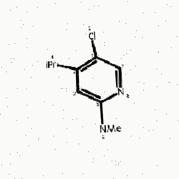 CNc1cc(C(C)C)c(Cl)cn1